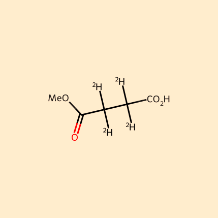 [2H]C([2H])(C(=O)O)C([2H])([2H])C(=O)OC